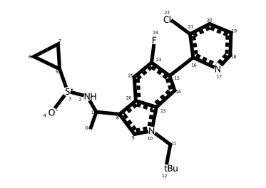 CC(N[S+]([O-])C1CC1)c1cn(CC(C)(C)C)c2cc(-c3ncccc3Cl)c(F)cc12